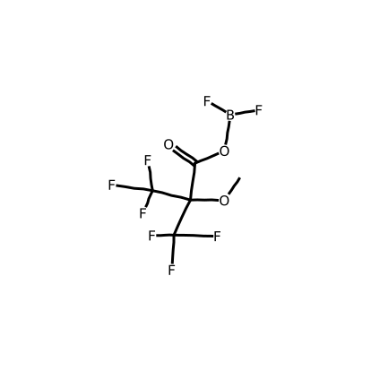 COC(C(=O)OB(F)F)(C(F)(F)F)C(F)(F)F